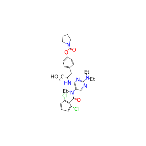 CCN(CC)c1ncc(N(CC)C(=O)c2c(Cl)cccc2Cl)c(N[C@@H](Cc2ccc(OC(=O)N3CCCC3)cc2)C(=O)O)n1